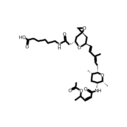 CC(=O)OC(C)/C=C\C(=O)N[C@@H]1C[C@H](C)[C@H](C/C=C(C)/C=C/[C@@H]2C[C@]3(CO3)C[C@@H](CC(=O)NCCCCCC(=O)O)O2)O[C@@H]1C